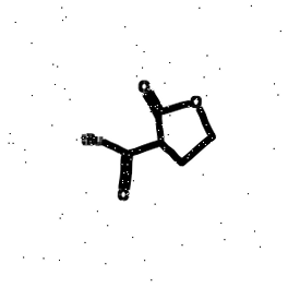 CC(C)(C)C(=O)C1CCOC1=O